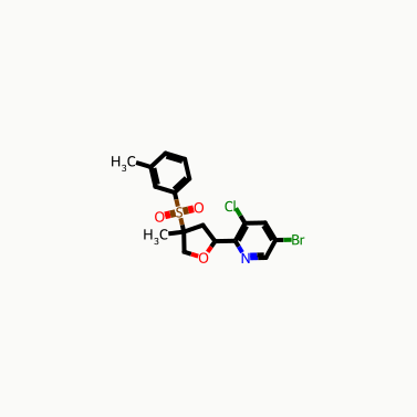 Cc1cccc(S(=O)(=O)C2(C)COC(c3ncc(Br)cc3Cl)C2)c1